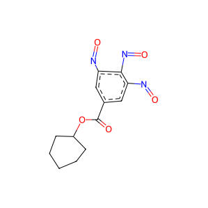 O=Nc1cc(C(=O)OC2CCCCC2)cc(N=O)c1N=O